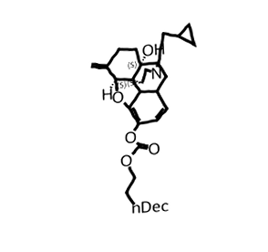 C=C1CC[C@@]2(O)C3CC4C=CC(OC(=O)OCCCCCCCCCCCC)=C5O[C@@H]1[C@]2(CCN3CC1CC1)C54